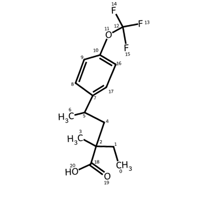 CCC(C)(CC(C)c1ccc(OC(F)(F)F)cc1)C(=O)O